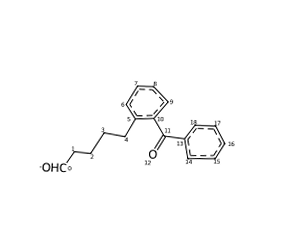 O=[C]CCCCc1ccccc1C(=O)c1ccccc1